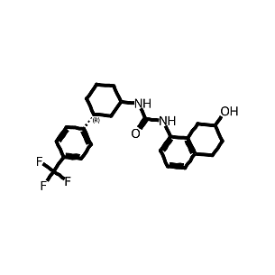 O=C(Nc1cccc2c1CC(O)CC2)NC1CCC[C@@H](c2ccc(C(F)(F)F)cc2)C1